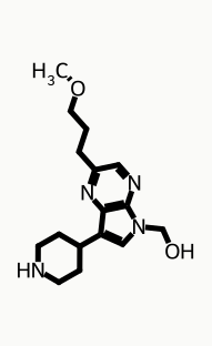 COCCCc1cnc2c(n1)c(C1CCNCC1)cn2CO